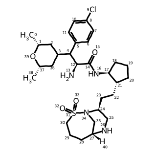 C[C@@H]1CC(C(c2ccc(Cl)cc2)[C@H](N)C(=O)N[C@H]2CCC[C@@H]2CC[C@H]2CN[C@@H]3CCCS(=O)(=O)N2C3)C[C@H](C)O1